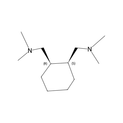 CN(C)C[C@H]1CCCC[C@H]1CN(C)C